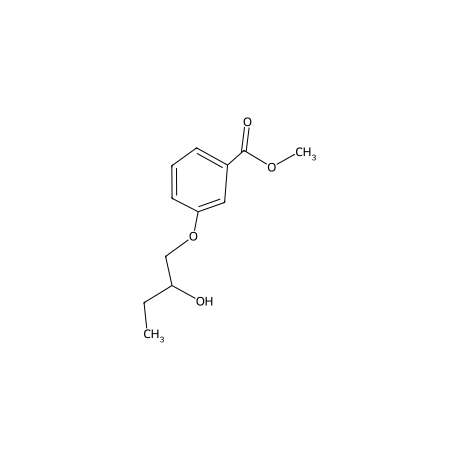 CCC(O)COc1cccc(C(=O)OC)c1